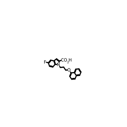 O=C(O)c1cc2cc(F)ccc2n1CCCOc1cccc2ccccc12